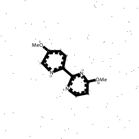 COc1ccc(-c2n[c]cc(OC)n2)nc1